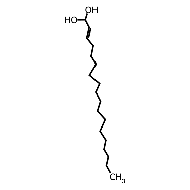 CCCCCCCCCCCCCCCC=CC(O)O